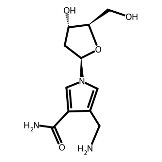 NCc1cn([C@H]2C[C@H](O)[C@@H](CO)O2)cc1C(N)=O